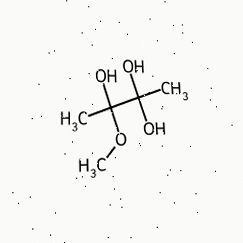 COC(C)(O)C(C)(O)O